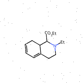 CCOC(=O)C1C2CC=CC=C2CCN1CC